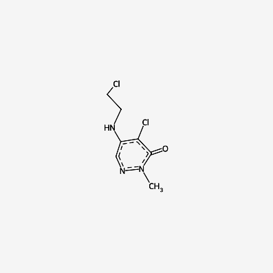 Cn1ncc(NCCCl)c(Cl)c1=O